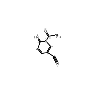 N#Cc1ccc(=N)n(C(N)=O)c1